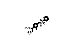 COC(CN)c1ccc(CNS(=O)(=O)c2ccccn2)cc1C